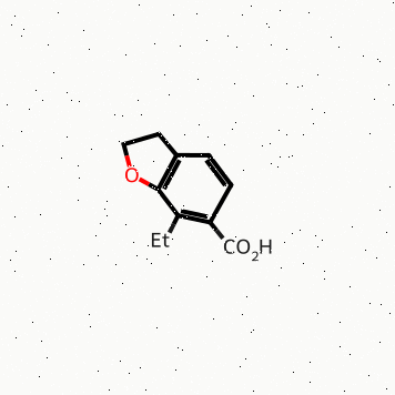 CCc1c(C(=O)O)ccc2c1OCC2